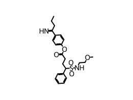 CCCC(=N)c1ccc(OC(=O)CCC(c2ccccc2)S(=O)(=O)NCCOC)cc1